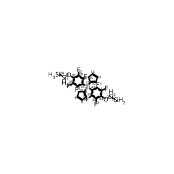 Fc1c(F)[c]([Ti]([C]2=CC=CC2)([C]2=CC=CC2)[c]2c(F)c(F)c(O[SiH2][SiH3])c(F)c2F)c(F)c(F)c1O[SiH2][SiH3]